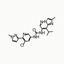 Cc1cn2ncc(NC(=O)Nc3cnc(-c4ccn(C)n4)c(Cl)c3)c(C(C)C)c2n1